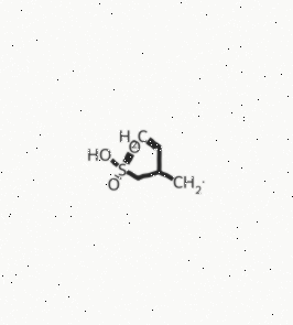 [CH2]C(C=C)CS(=O)(=O)O